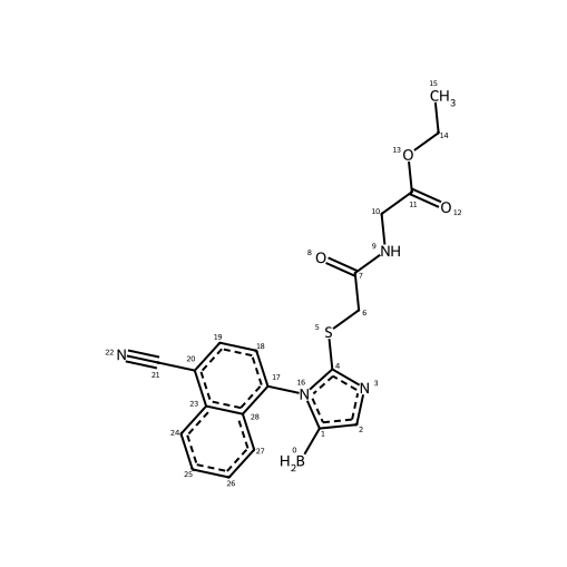 Bc1cnc(SCC(=O)NCC(=O)OCC)n1-c1ccc(C#N)c2ccccc12